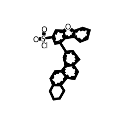 O=S(=O)(Cl)c1cc(-c2ccc3ccc4c5c(ccc4c3c2)CCCC5)c2c(c1)oc1ccccc12